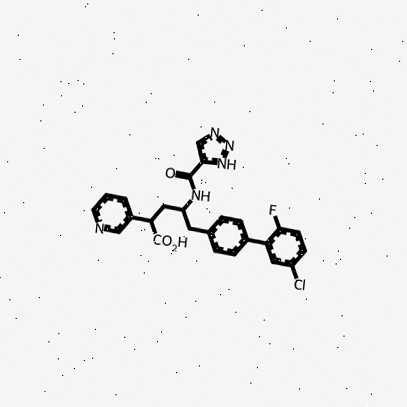 O=C(NC(Cc1ccc(-c2cc(Cl)ccc2F)cc1)CC(C(=O)O)c1cccnc1)c1cnn[nH]1